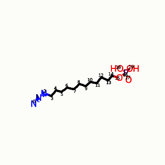 [N-]=[N+]=NCCCCCCCCCCCCOP(=O)(O)O